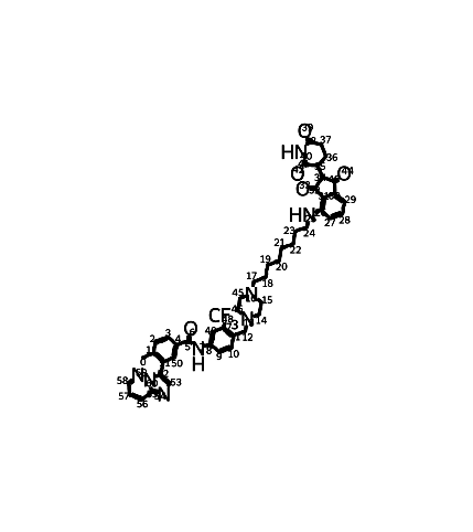 Cc1ccc(C(=O)Nc2ccc(CN3CCN(CCCCCCCCNc4cccc5c4C(=O)C(C4CCC(=O)NC4=O)C5=O)CC3)c(C(F)(F)F)c2)cc1-c1cnc2cccnn12